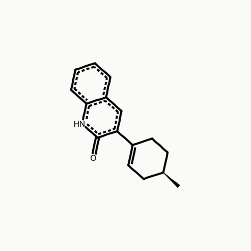 C[C@H]1CC=C(c2cc3ccccc3[nH]c2=O)CC1